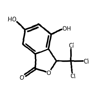 O=C1OC(C(Cl)(Cl)Cl)c2c(O)cc(O)cc21